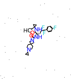 C#CC1(NC(=O)[C@H](CCC(F)(F)c2ccc(F)cc2)NC(=O)N2CC3(CCN(C4CC4)CC3)C2)CC1